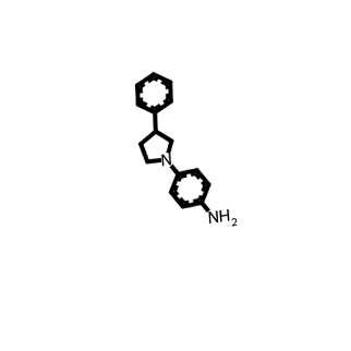 Nc1ccc(N2CCC(c3ccccc3)C2)cc1